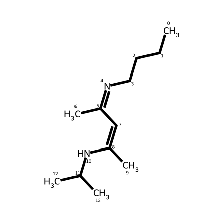 CCCCN=C(C)C=C(C)NC(C)C